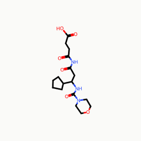 O=C(O)CCC(=O)NC(=O)CC(NC(=O)N1CCOCC1)C1CCCC1